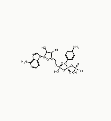 Nc1ccc(OP(=O)(OP(=O)(O)O)OP(=O)(O)OC[C@H]2O[C@@H](n3cnc4c(N)ncnc43)C(O)C2O)cc1